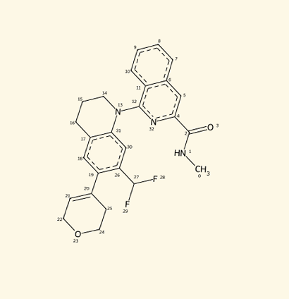 CNC(=O)c1cc2ccccc2c(N2CCCc3cc(C4=CCOCC4)c(C(F)F)cc32)n1